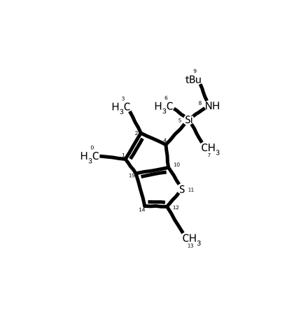 CC1=C(C)C([Si](C)(C)NC(C)(C)C)c2sc(C)cc21